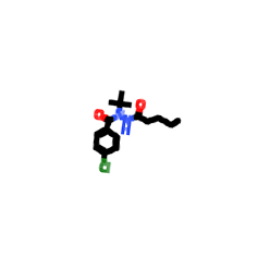 CCCCC(=O)NN(C(=O)c1ccc(Cl)cc1)C(C)(C)C